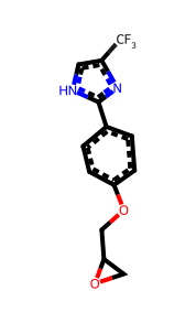 FC(F)(F)c1c[nH]c(-c2ccc(OCC3CO3)cc2)n1